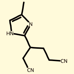 Cc1c[nH]c(C(CC#N)CCC#N)n1